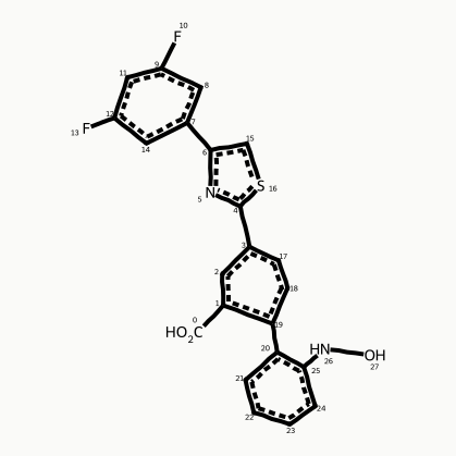 O=C(O)c1cc(-c2nc(-c3cc(F)cc(F)c3)cs2)ccc1-c1ccccc1NO